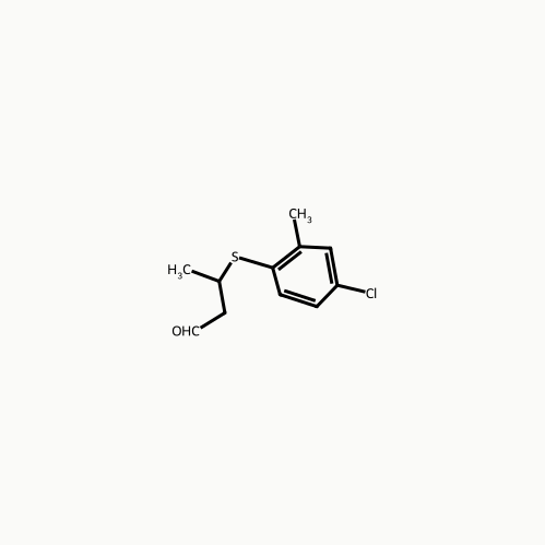 Cc1cc(Cl)ccc1SC(C)CC=O